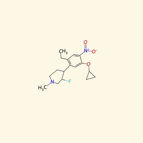 CCc1cc([N+](=O)[O-])c(OC2CC2)cc1C1CCN(C)CC1F